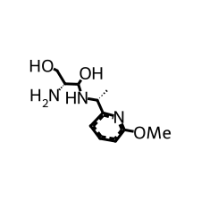 COc1cccc([C@@H](C)NC(O)[C@H](N)CO)n1